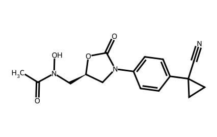 CC(=O)N(O)C[C@@H]1CN(c2ccc(C3(C#N)CC3)cc2)C(=O)O1